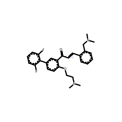 CN(C)CCOc1ccc(-c2c(F)cccc2F)cc1C(=O)/C=C/c1ccccc1CN(C)C